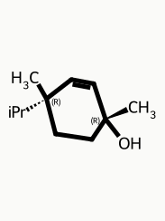 CC(C)[C@]1(C)C=C[C@](C)(O)CC1